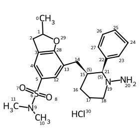 CC1Cc2cc(S(=O)(=O)N(C)C)cc(C[C@@H]3CCCN(N)[C@@H]3c3ccccc3)c2O1.Cl